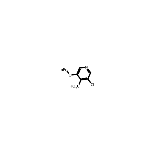 CCCOc1cncc(Cl)c1C(=O)O